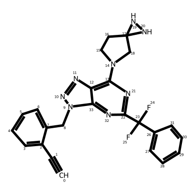 C#Cc1ccccc1Cn1nnc2c(N3CCC4(C3)NN4)nc(C(F)(F)c3ccccc3)nc21